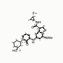 CNc1cc(Nc2cccn([C@@H]3CCC[C@](C)(O)C3)c2=O)nc2c(C(=O)N[C@@H]3C[C@@H]3F)cnn12